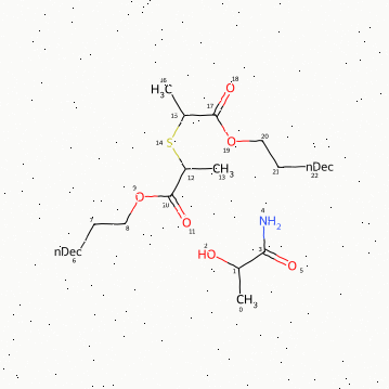 CC(O)C(N)=O.CCCCCCCCCCCCOC(=O)C(C)SC(C)C(=O)OCCCCCCCCCCCC